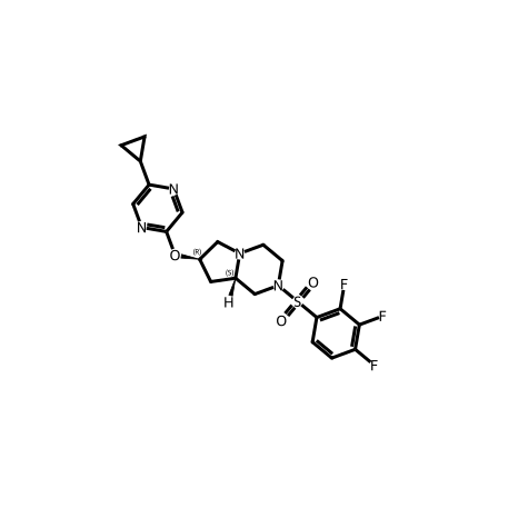 O=S(=O)(c1ccc(F)c(F)c1F)N1CCN2C[C@H](Oc3cnc(C4CC4)cn3)C[C@H]2C1